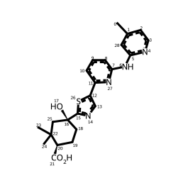 Cc1ccnc(Nc2cccc(-c3cnc([C@]4(O)CC[C@@H](C(=O)O)C(C)(C)C4)s3)n2)c1